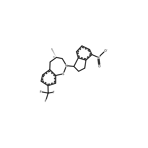 C[C@H]1Cc2ccc(C(F)(F)F)cc2SN(C2CCc3c2cccc3[N+](=O)[O-])C1